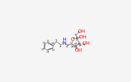 OC[C@]1(O)O[C@H](CNCCc2ccccc2)[C@H](O)[C@H]1O